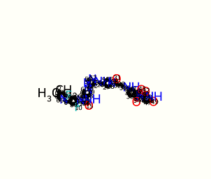 CC1(C)CCN(Cc2cc(F)c(N3CC(=O)NC4(CCN(c5cc(NCC6CCN(C(=O)CCCNc7ccc8c(c7)C(=O)N(C7CCC(=O)NC7=O)C8=O)CC6)ncn5)CC4)C3)cc2F)CC1